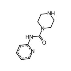 O=C(Nc1ccccn1)N1CCNCC1